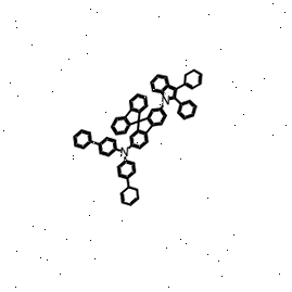 C1=CCCC(c2c(-c3ccccc3)n(-c3ccc4c(c3)C3(c5ccccc5-c5ccccc53)c3cc(N(c5ccc(-c6ccccc6)cc5)c5ccc(C6C=CC=CC6)cc5)ccc3-4)c3ccccc23)=C1